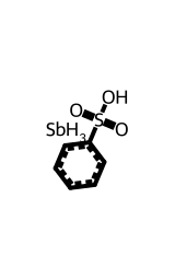 O=S(=O)(O)c1ccccc1.[SbH3]